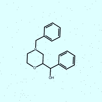 OC(c1ccccc1)C1CN(Cc2ccccc2)CCO1